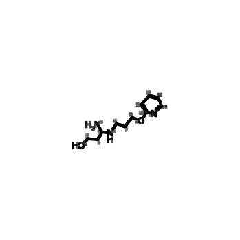 NC(CCO)NCCCOc1ccccn1